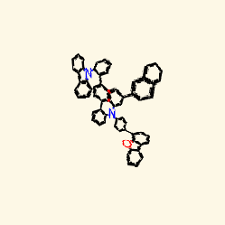 c1cc(-c2ccc3ccccc3c2)cc(N(c2ccc(-c3cccc4c3oc3ccccc34)cc2)c2ccccc2-c2ccc(-c3ccccc3-n3c4ccccc4c4ccccc43)cc2)c1